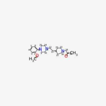 COc1ccccc1N1CCN(CCC2CCN(CC(C)=O)CC2)CC1